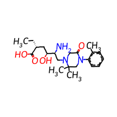 CC[C@H](C[C@H](O)[C@@H](N)CN1CC(=O)N(c2ccccc2C)CC1(C)C)C(=O)O